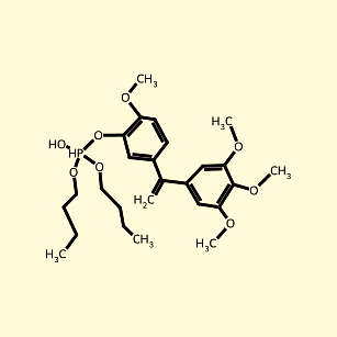 C=C(c1ccc(OC)c(O[PH](O)(OCCCC)OCCCC)c1)c1cc(OC)c(OC)c(OC)c1